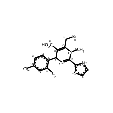 CN1C(c2nccs2)=NC(c2ccc(Cl)cc2Cl)C(C(=O)O)=C1CBr